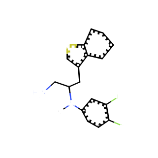 CN(c1ccc(F)c(F)c1)C(CN)Cc1csc2ccccc12